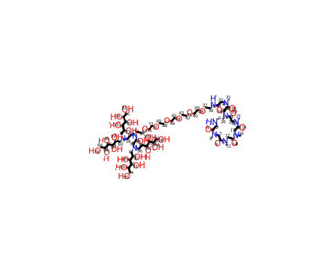 CNCC(=O)N(C)CC(=O)N(C)CC(=O)N(C)CC(=O)N(C)CC(=O)N(C)CC(=O)N(C)CC(=O)NCCOCCOCCOCCOCCOCCOCCN(CCN(C[C@H](O)[C@@H](O)[C@H](O)[C@H](O)CO)C[C@H](O)[C@@H](O)[C@H](O)[C@H](O)CO)CCN(C[C@H](O)[C@@H](O)[C@H](O)[C@H](O)CO)C[C@H](O)[C@@H](O)[C@H](O)[C@H](O)CO